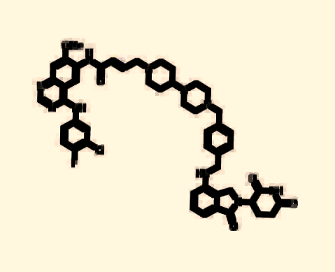 COc1cc2ncnc(Nc3ccc(F)c(Cl)c3)c2cc1NC(=O)/C=C/CN1CCC(N2CCN(Cc3ccc(CNc4cccc5c4CN(C4CCC(=O)NC4=O)C5=O)cc3)CC2)CC1